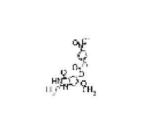 COc1cc2nc(C)[nH]c(=O)c2cc1OC(=O)Oc1ccc([N+](=O)[O-])cc1